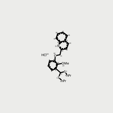 CCCSC(SCCC)c1cccc(OCc2ccc3ccccc3n2)c1OC.Cl